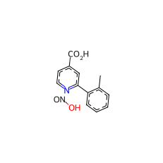 Cc1ccccc1-c1cc(C(=O)O)ccn1.O=NO